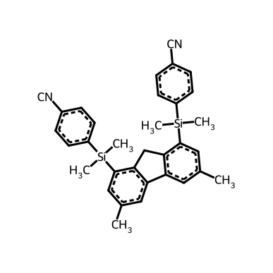 [C-]#[N+]c1ccc([Si](C)(C)c2cc(C)cc3c2Cc2c-3cc(C)cc2[Si](C)(C)c2ccc(C#N)cc2)cc1